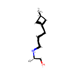 CC[C@@H](CO)NCCCC1CC(C)C1